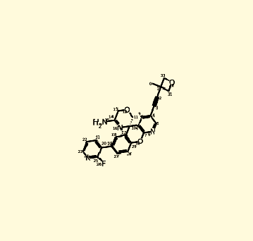 CC1(C#Cc2cnc3c(c2)[C@@]2(COCC(N)=N2)c2cc(-c4cccnc4F)ccc2O3)COC1